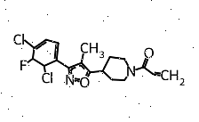 C=CC(=O)N1CCC(c2onc(C3=CC=C(Cl)C(F)C3Cl)c2C)CC1